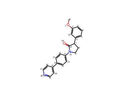 COc1cccc(C2CCN(c3ccc(-c4ccncc4)cc3)C2=O)c1